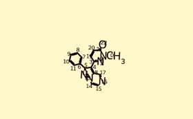 Cn1nc(-c2c(-c3ccccc3)nn3ccncc23)ccc1=O